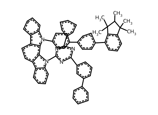 CC1C(C)(C)c2cccc(-c3ccc(-c4ccc(-n5c6ccccc6c6ccc7c8ccccc8n(-c8nc(-c9ccccc9)nc(-c9cccc(-c%10ccccc%10)c9)n8)c7c65)cc4)cc3)c2C1(C)C